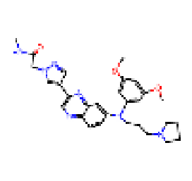 CNC(=O)Cn1cc(-c2cnc3ccc(N(CCCN4CCCC4)c4cc(OC)cc(OC)c4)cc3n2)cn1